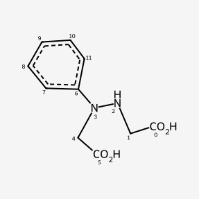 O=C(O)CNN(CC(=O)O)c1ccccc1